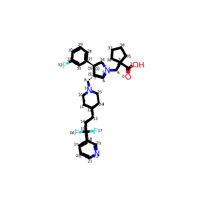 O=C(O)C1(CN2C[C@H](CN3CCC(CCC(F)(F)c4cccnc4)CC3)[C@@H](c3cccc(F)c3)C2)CCCC1